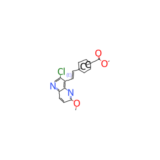 COC(=O)C12CCC(/C=C/c3c(Cl)cnc4ccc(OC)nc34)(CC1)CC2